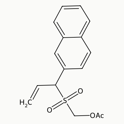 C=CC(c1ccc2ccccc2c1)S(=O)(=O)COC(C)=O